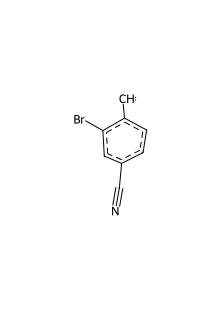 [CH]c1ccc(C#N)cc1Br